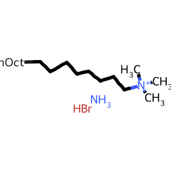 Br.CCCCCCCCCCCCCCCC[N+](C)(C)C.N